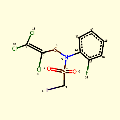 O=S(=O)(CI)N(SC(Cl)=C(Cl)Cl)c1ccccc1F